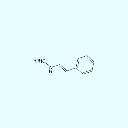 O=[C]NC=Cc1ccccc1